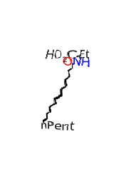 CCCCCC=CCC=CCC=CCC=CCCCC(=O)NC(CC)C(=O)O